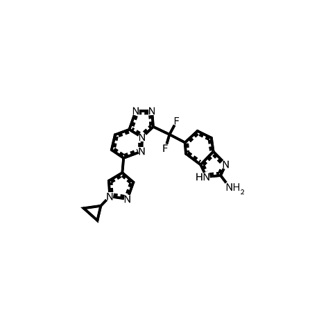 Nc1nc2ccc(C(F)(F)c3nnc4ccc(-c5cnn(C6CC6)c5)nn34)cc2[nH]1